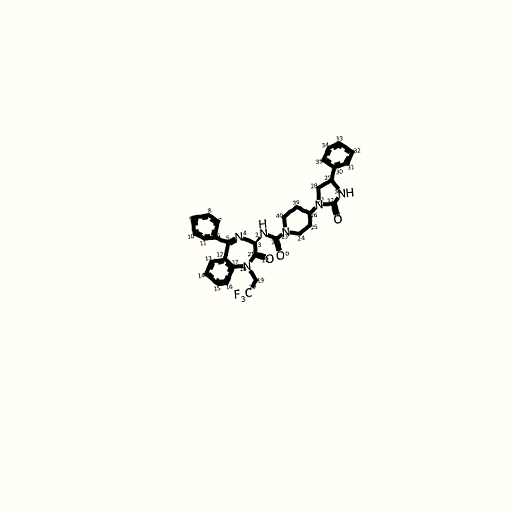 O=C(N[C@@H]1N=C(c2ccccc2)c2ccccc2N(CC(F)(F)F)C1=O)N1CCC(N2CC(c3ccccc3)NC2=O)CC1